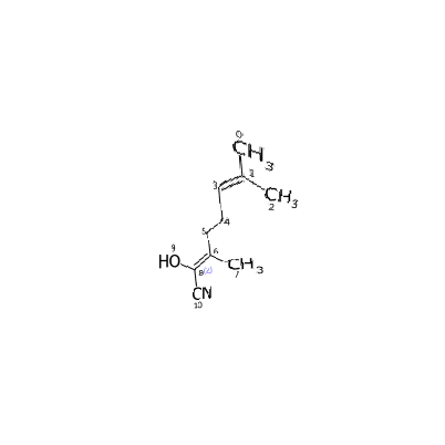 CC(C)=CCC/C(C)=C(\O)C#N